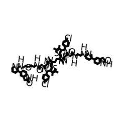 Cc1sc2c(c1C)C(c1ccc(Cl)cc1)=N[C@@H](CC(=O)NCCNc1ccc(-c3ccc4c(c3)CC(=O)N4)cn1)c1nnc(CCc3nnc4n3-c3sc(C)c(C)c3C(c3ccc(Cl)cc3)=N[C@H]4CC(=O)NCCOCCNc3ncccc3-c3ccc4c(c3)CC(=O)N4)n1-2